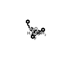 Cc1c(N2CCN(CCCc3ccccc3)CC2)c(=O)n(C[C@H](N)c2ccccc2)c(=O)n1Cc1c(F)cccc1F